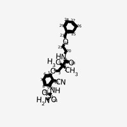 CC(C)(COc1cccc(NS(N)(=O)=O)c1C#N)C(=O)NCCOCc1ccccc1